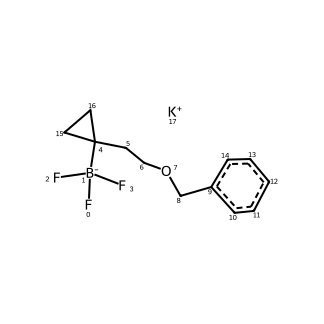 F[B-](F)(F)C1(CCOCc2ccccc2)CC1.[K+]